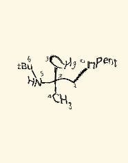 CCCCCCC(C)(C)NC(C)(C)C